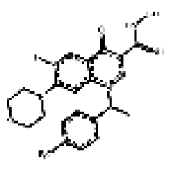 CC(c1ccc(C(F)(F)F)cc1)n1cc(C(=N)NO)c(=O)c2cc(F)c(N3CCOCC3)cc21